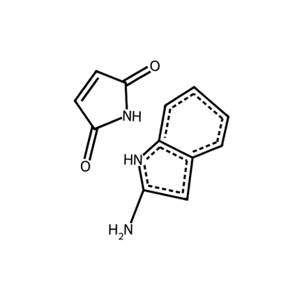 Nc1cc2ccccc2[nH]1.O=C1C=CC(=O)N1